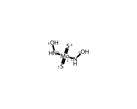 O[NH][Mo](=[S])(=[S])[NH]O